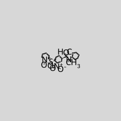 Cc1ccccc1N(C)C(=O)c1ccc([S+]([O-])c2cccc[n+]2[O-])c([N+](=O)[O-])c1